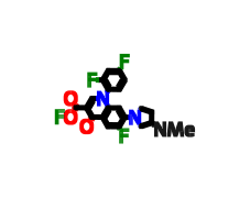 CNC1CCN(c2cc3c(cc2F)c(=O)c(C(=O)OF)cn3-c2ccc(F)cc2F)C1